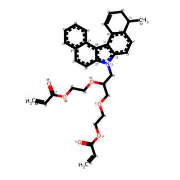 C=CC(=O)OCCOCC(Cn1c2ccc3c(c2c2c4ccccc4ccc21)C=CCC3C)OCCOC(=O)C=C